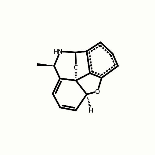 C[C@H]1NC2C[C@@]34C1=CC=C[C@@H]3Oc1cccc2c14